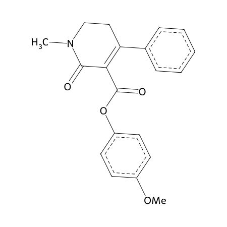 COc1ccc(OC(=O)C2=C(c3ccccc3)CCN(C)C2=O)cc1